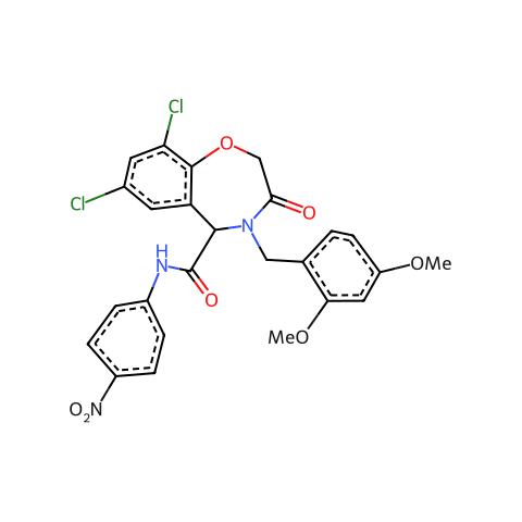 COc1ccc(CN2C(=O)COc3c(Cl)cc(Cl)cc3C2C(=O)Nc2ccc([N+](=O)[O-])cc2)c(OC)c1